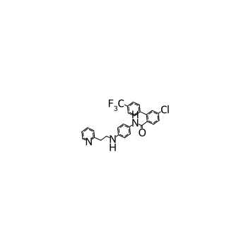 O=C(Nc1ccc(NCCc2ccccn2)cc1)c1ccc(Cl)cc1-c1ccc(C(F)(F)F)cc1